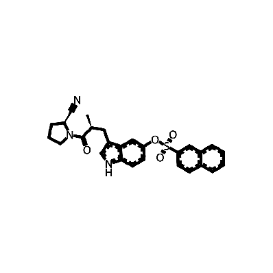 C[C@@H](Cc1c[nH]c2ccc(OS(=O)(=O)c3ccc4ccccc4c3)cc12)C(=O)N1CCC[C@H]1C#N